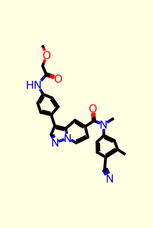 COCC(=O)Nc1ccc(-c2cnn3ccc(C(=O)N(C)c4ccc(C#N)c(C)c4)cc23)cc1